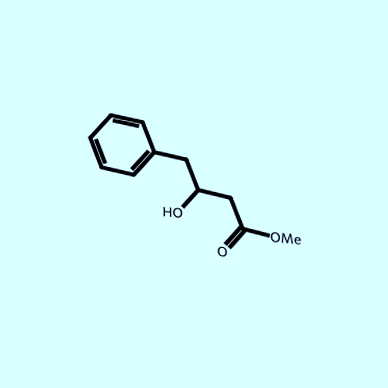 COC(=O)CC(O)Cc1ccccc1